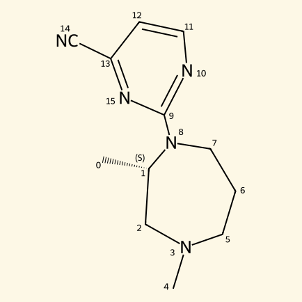 C[C@H]1CN(C)CCCN1c1nccc(C#N)n1